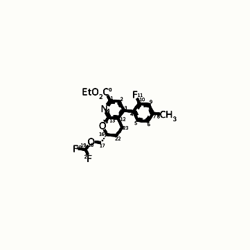 CCOC(=O)c1cc(-c2ccc(C)cc2F)c2c(n1)O[C@@H](COC(F)F)CC2